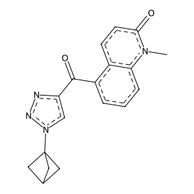 Cn1c(=O)ccc2c(C(=O)c3cn(C45CC(C4)C5)nn3)cccc21